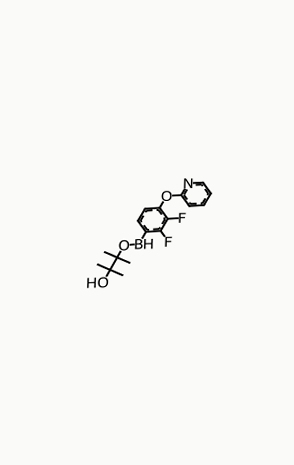 CC(C)(O)C(C)(C)OBc1ccc(Oc2ccccn2)c(F)c1F